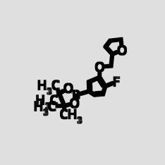 CC1(C)OB(c2ccc(F)c(OCC3CCCO3)c2)OC1(C)C